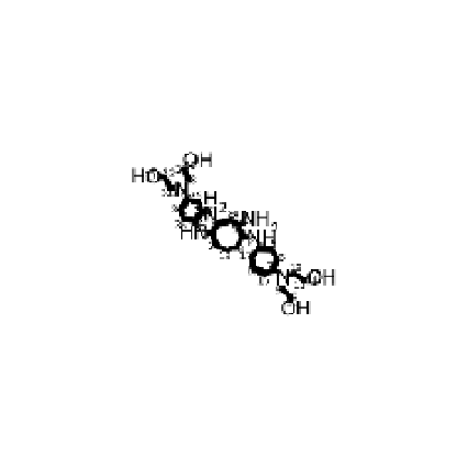 NC1=C(\NC2=CC=C(N(CCO)CCO)C=CC2)CCCC(Nc2ccc(N(CCO)CCO)cc2)/C(N)=C\1